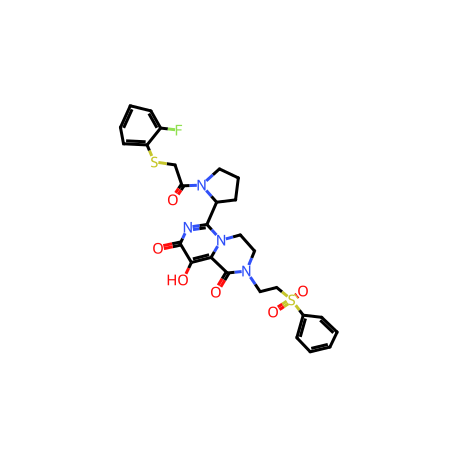 O=C1c2c(O)c(=O)nc(C3CCCN3C(=O)CSc3ccccc3F)n2CCN1CCS(=O)(=O)c1ccccc1